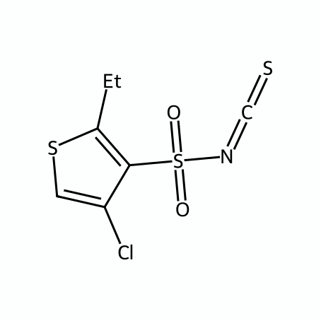 CCc1scc(Cl)c1S(=O)(=O)N=C=S